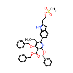 CCc1c(-c2ccc3cc(CCOS(C)(=O)=O)[nH]c3c2)nc(OCc2ccccc2)c(C(=O)OCc2ccccc2)c1OCc1ccccc1